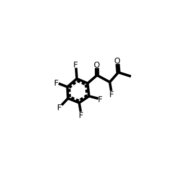 CC(=O)C(F)C(=O)c1c(F)c(F)c(F)c(F)c1F